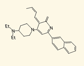 C=c1nc(-c2ccc3ccccc3c2)cc(N2CCC(N(CC)CC)CC2)/c1=C/C=C\C